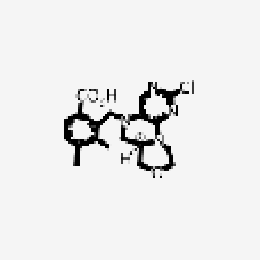 Cc1ccc(C(=O)O)c(CN2C[C@@H]3COCCN3c3nc(Cl)ncc32)c1C